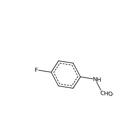 O=[C]Nc1ccc(F)cc1